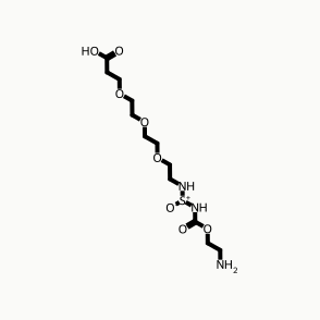 NCCOC(=O)N[S+]([O-])NCCOCCOCCOCCC(=O)O